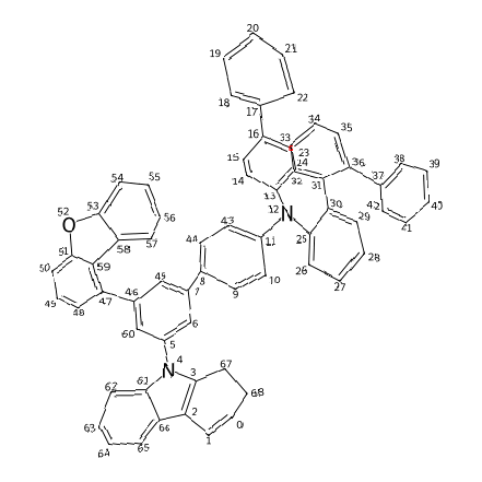 C1=Cc2c(n(-c3cc(-c4ccc(N(c5ccc(-c6ccccc6)cc5)c5ccccc5-c5ccccc5-c5ccccc5)cc4)cc(-c4cccc5oc6ccccc6c45)c3)c3ccccc23)CC1